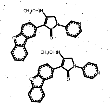 CN(O)C1=C(c2ccc3oc4ccccc4c3c2)C(=O)N(c2cccnc2)C1.CN(O)C1=C(c2ccc3oc4ccccc4c3c2)C(=O)N(c2ccncc2)C1